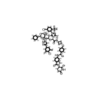 Cc1nc([C@@H]2O[C@@H]3COC(c4ccccc4)O[C@@H]3[C@H](n3cc(-c4cc(F)c(Cl)c(F)c4)nn3)[C@H]2OCC(=O)N[C@H]2C[C@@H](Oc3ccc(C(=O)Nc4ccc5c(c4)CN(C4CCC(=O)NC4=O)C5=O)cc3)C2)n(-c2cc(Cl)ccc2C(F)(F)F)n1